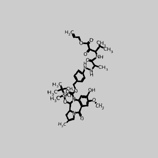 C=CCOC(=O)C(=O)C(NC(=O)C(C)NNc1ccc(COC(=O)N2c3cc(O)c(OC)cc3C(=O)N3C=C(C)CC3C2O[Si](C)(C)C(C)(C)C)cc1)C(C)C